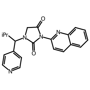 CC(C)C(c1ccncc1)N1CC(=O)N(c2ccc3ccccc3n2)C1=O